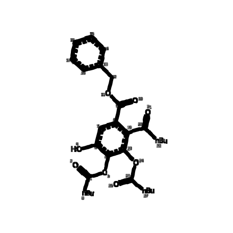 CCCCC(=O)Oc1c(O)cc(C(=O)OCc2ccccc2)c(C(=O)CCCC)c1OC(=O)CCCC